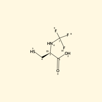 O=C(O)[C@@H](CS)NC(F)(F)F